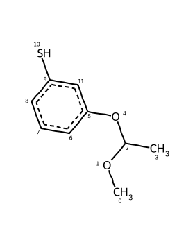 COC(C)Oc1cccc(S)c1